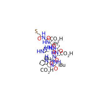 CC[C@H](C)[C@H](NC(=O)[C@H](CC(=O)O)NC(=O)[C@H](CC(C)C)NC(=O)[C@H](Cc1c[nH]cn1)NC(=O)[C@H](CC(=O)O)NC(=O)CNC(=O)CC=S)C(=O)N[C@H](C(=O)N[C@@H](Cc1c[nH]c2ccccc12)C(=O)O)[C@@H](C)CC